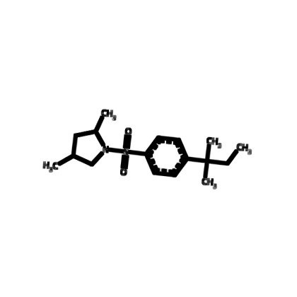 CCC(C)(C)c1ccc(S(=O)(=O)N2CC(C)CC2C)cc1